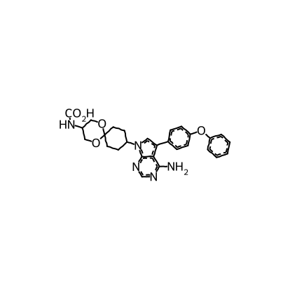 Nc1ncnc2c1c(-c1ccc(Oc3ccccc3)cc1)cn2C1CCC2(CC1)OCC(NC(=O)O)CO2